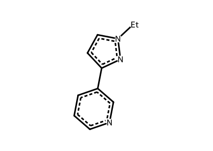 CCn1ccc(-c2cccnc2)n1